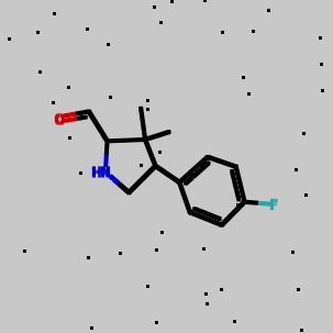 CC1(C)C(C=O)NCC1c1ccc(F)cc1